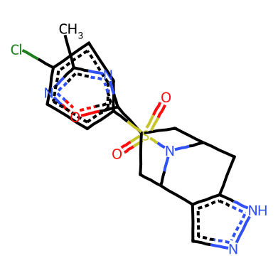 Cc1noc(C2CC3Cc4[nH]ncc4C(C2)N3S(=O)(=O)c2ccc(Cl)cc2)n1